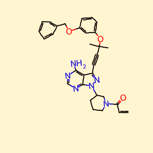 C=CC(=O)N1CCCC(n2nc(C#CC(C)(C)Oc3cccc(OCc4ccccc4)c3)c3c(N)ncnc32)C1